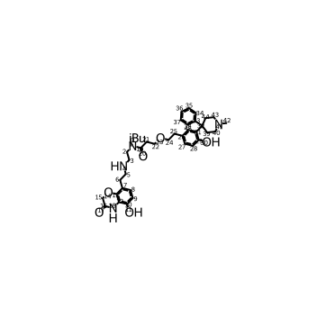 CC[C@@H](C)N(CCNCCc1ccc(O)c2c1OCC(=O)N2)C(=O)CCOCCc1ccc(O)c(C2(c3ccccc3)CCN(C)CC2)c1